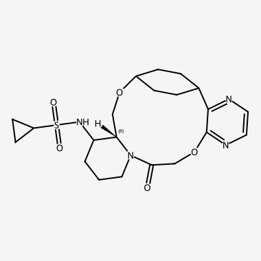 O=C1COc2nccnc2C2CCC(CC2)OC[C@H]2C(NS(=O)(=O)C3CC3)CCCN12